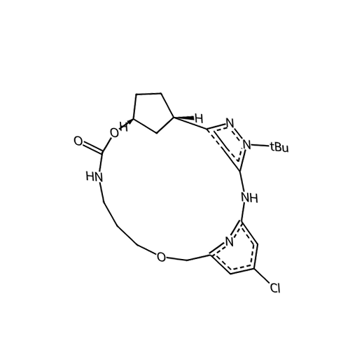 CC(C)(C)n1nc2cc1Nc1cc(Cl)cc(n1)COCCCNC(=O)O[C@@H]1CC[C@H]2C1